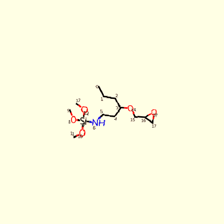 CCC[C](CCN[Si](OC)(OC)OC)OCC1CO1